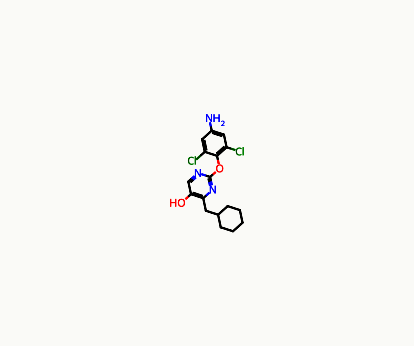 Nc1cc(Cl)c(Oc2ncc(O)c(CC3CCCCC3)n2)c(Cl)c1